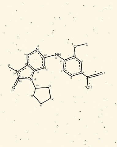 COc1cc(C(=O)O)ccc1Nc1ncc2c(n1)n(C1CCCC1)c(=O)n2C